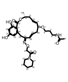 CC(=O)NCCCO[C@@H]1/C=C/C[C@@H](C)OC(=O)c2c(O)cc(O)cc2CC(=N/OCC(=O)N2CCCCC2)/C=C/C1